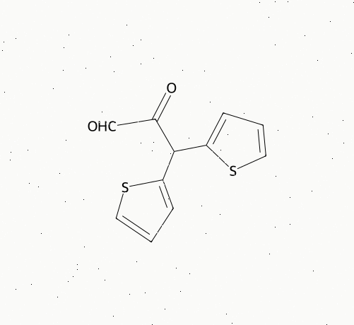 O=CC(=O)C(c1cccs1)c1cccs1